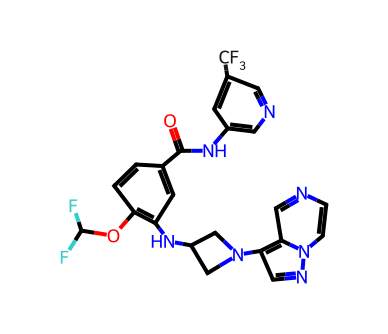 O=C(Nc1cncc(C(F)(F)F)c1)c1ccc(OC(F)F)c(NC2CN(c3cnn4ccncc34)C2)c1